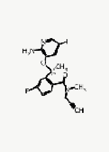 C#CCN(C)C(=O)c1ccc(F)cc1[C@@H](C)Oc1cc(I)cnc1N